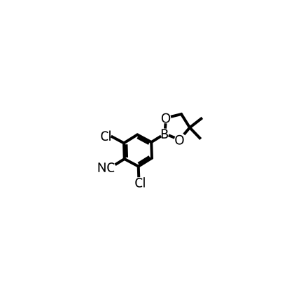 CC1(C)COB(c2cc(Cl)c(C#N)c(Cl)c2)O1